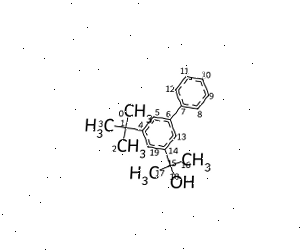 CC(C)(C)c1cc(-c2ccccc2)cc(C(C)(C)O)c1